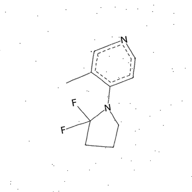 Cc1[c]nccc1N1CCCC1(F)F